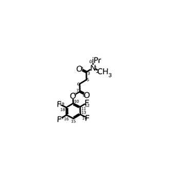 CC(C)N(C)C(=O)CCC(=O)Oc1c(F)c(F)cc(F)c1F